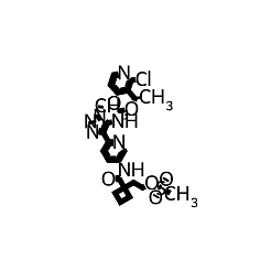 C[C@@H](OC(=O)Nc1c(-c2ccc(NC(=O)C3(CCOS(C)(=O)=O)CCC3)cn2)nnn1C)c1cccnc1Cl